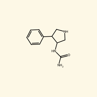 NC(=O)NC1CNCC1c1ccccc1